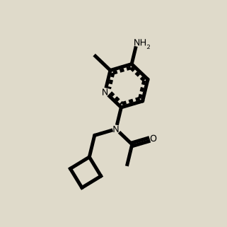 CC(=O)N(CC1CCC1)c1ccc(N)c(C)n1